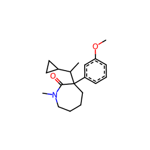 COc1cccc(C2(C(C)C3CC3)CCCCN(C)C2=O)c1